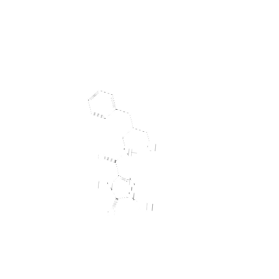 CCC(CNC(=O)c1nn(C)c(=O)[nH]1)Cc1ccccc1